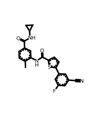 Cc1ccc(C(=O)NC2CC2)cc1NC(=O)c1ccc(-c2cc(F)cc(C#N)c2)s1